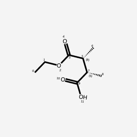 CCOC(=O)[C@H](C)[C@H](C)C(=O)O